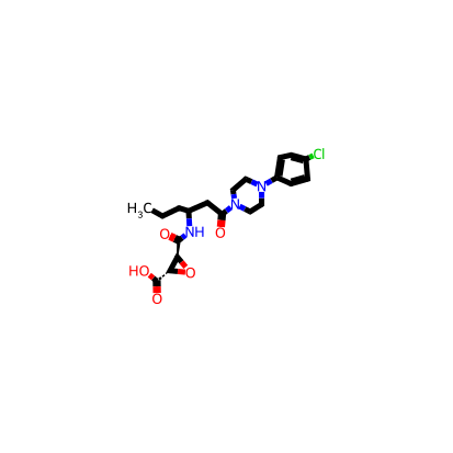 CCCC(CC(=O)N1CCN(c2ccc(Cl)cc2)CC1)NC(=O)[C@H]1O[C@@H]1C(=O)O